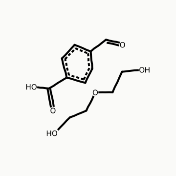 O=Cc1ccc(C(=O)O)cc1.OCCOCCO